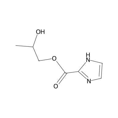 CC(O)COC(=O)c1ncc[nH]1